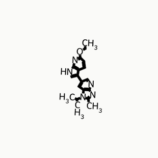 CCOc1ccc2c(-c3cnc4nc(C)n(C(C)C)c4c3)c[nH]c2n1